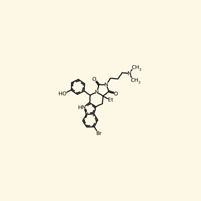 CCC12Cc3c([nH]c4ccc(Br)cc34)C(c3cccc(O)c3)N1C(=O)N(CCCN(C)C)C2=O